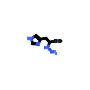 NNC([C]=O)Cc1c[nH]cn1